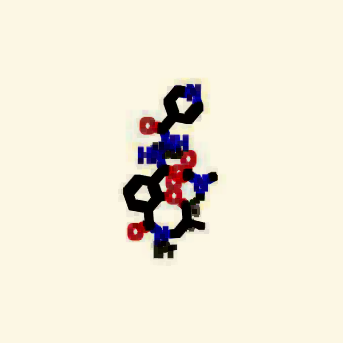 CC(C)N1C[C@H](C)[C@@H](CN(C)C(=O)OC(C)(C)C)Oc2c(C(=O)NNC(=O)c3ccncc3)cccc2C1=O